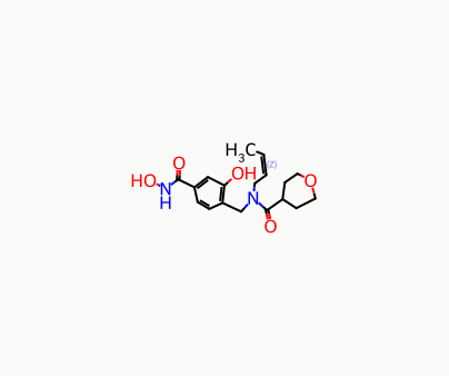 C/C=C\CN(Cc1ccc(C(=O)NO)cc1O)C(=O)C1CCOCC1